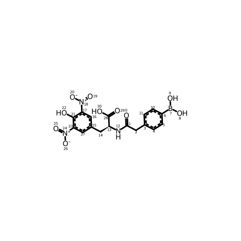 O=C(Cc1ccc(B(O)O)cc1)N[C@@H](Cc1cc([N+](=O)[O-])c(O)c([N+](=O)[O-])c1)C(=O)O